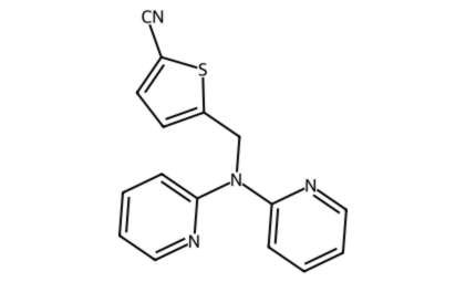 N#Cc1ccc(CN(c2ccccn2)c2ccccn2)s1